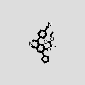 CCOC(=O)[C@H](C)Oc1cc2c(-c3ccc(C#N)cc3)cncc2cc1C1CCCC1